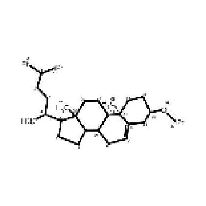 CCC(CCC(C)C1CCC2C3CC=C4CC(OC(C)C)CC[C@]4(C)C3CCC12C)C(C)C